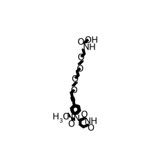 Cn1c(=O)n(C2CCC(=O)NC2=O)c2ccc(C#CCOCCOCCOCCOCCNC(=O)O)cc21